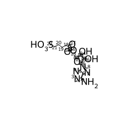 Nc1ncnc2c1ncn2[C@@H]1O[C@H](COS(=O)(=O)CCCCS(=O)(=O)O)[C@@H](O)[C@H]1O